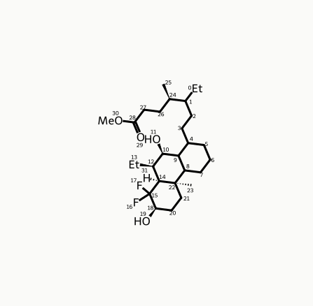 CCC(CCC1CCCC2C1[C@H](O)[C@H](CC)[C@@H]1C(F)(F)[C@H](O)CC[C@]21C)[C@H](C)CCC(=O)OC